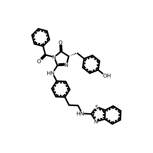 O=C(c1ccccc1)N1C(=O)[C@H](Cc2ccc(O)cc2)N=C1Nc1ccc(CCNc2nc3ccccc3s2)cc1